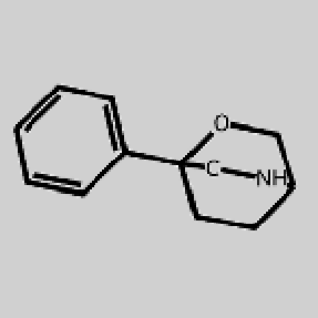 c1ccc(C23CCC(CO2)NC3)cc1